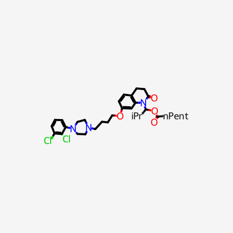 CCCCCC(=O)OC(C(C)C)N1C(=O)CCc2ccc(OCCCCN3CCN(c4cccc(Cl)c4Cl)CC3)cc21